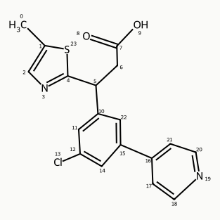 Cc1cnc(C(CC(=O)O)c2cc(Cl)cc(-c3ccncc3)c2)s1